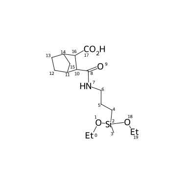 CCO[Si](C)(CCCNC(=O)C1C2CCC(C2)C1C(=O)O)OCC